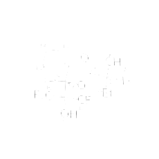 CCC(C)(I)C(=O)OC1(C(O)(C(F)(F)F)C(F)(F)F)CC2CCC1C2